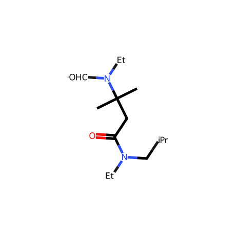 CCN(CC(C)C)C(=O)CC(C)(C)N([C]=O)CC